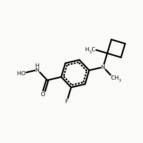 CN(c1ccc(C(=O)NO)c(F)c1)C1(C)CCC1